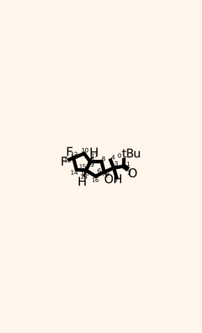 CC(C)(C)C(=O)C(C)(C)[C@]1(O)C[C@H]2CC(F)(F)C[C@H]2C1